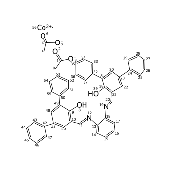 CC(=O)[O-].CC(=O)[O-].Oc1c(C=Nc2ccccc2N=Cc2cc(-c3ccccc3)cc(-c3ccccc3)c2O)cc(-c2ccccc2)cc1-c1ccccc1.[Co+2]